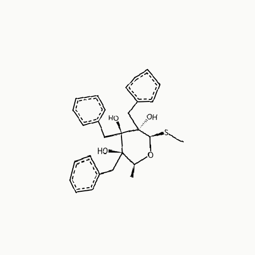 CS[C@H]1O[C@@H](C)[C@](O)(Cc2ccccc2)[C@](O)(Cc2ccccc2)[C@@]1(O)Cc1ccccc1